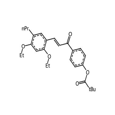 CCCc1cc(/C=C/C(=O)c2ccc(OC(=O)C(C)(C)C)cc2)c(OCC)cc1OCC